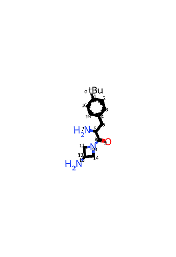 CC(C)(C)c1ccc(CC(N)C(=O)N2CC(N)C2)cc1